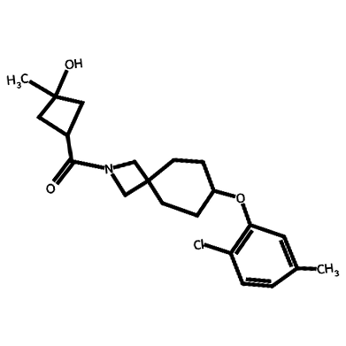 Cc1ccc(Cl)c(OC2CCC3(CC2)CN(C(=O)C2CC(C)(O)C2)C3)c1